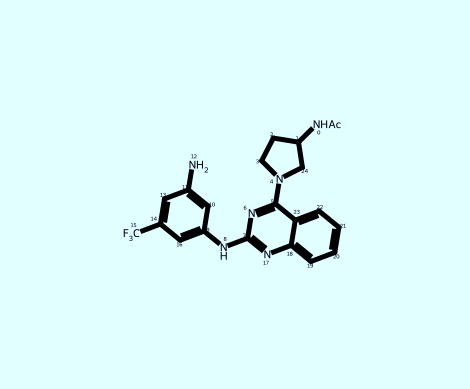 CC(=O)NC1CCN(c2nc(Nc3cc(N)cc(C(F)(F)F)c3)nc3ccccc23)C1